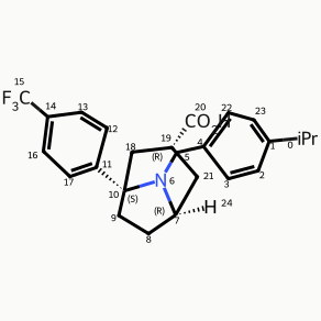 CC(C)c1ccc(CN2[C@@H]3CC[C@@]2(c2ccc(C(F)(F)F)cc2)C[C@H](C(=O)O)C3)cc1